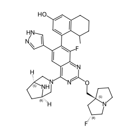 CC1CCCc2cc(O)cc(-c3c(-c4cn[nH]c4)cc4c(N5C[C@H]6CC[C@@H](C5)N6)nc(OC[C@@]56CCCN5C[C@H](F)C6)nc4c3F)c21